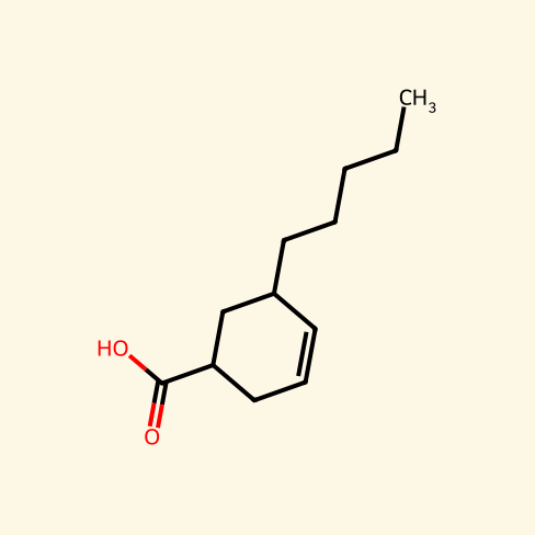 CCCCCC1C=CCC(C(=O)O)C1